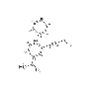 CCC#Cc1cc(C(=O)O)ccc1-c1ccccc1